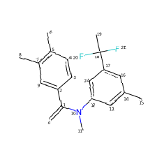 C=C(c1ccc(C)c(C)c1)N(C)c1cc(C)cc(C(C)(F)F)c1